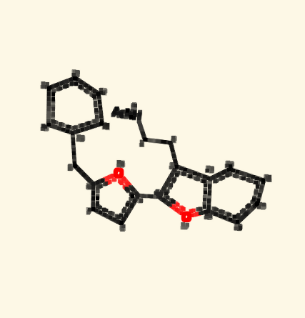 CC(=O)NCCc1c(-c2ccc(Cc3ccccc3)o2)oc2ccccc12